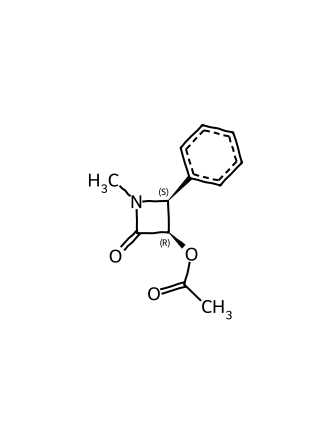 CC(=O)O[C@H]1C(=O)N(C)[C@H]1c1ccccc1